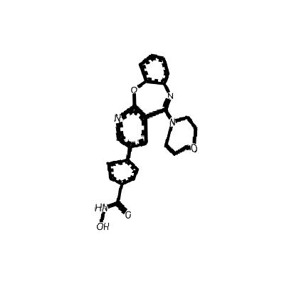 O=C(NO)c1ccc(-c2cnc3c(c2)C(N2CCOCC2)=Nc2ccccc2O3)cc1